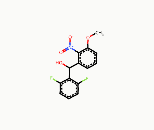 COc1cccc(C(O)c2c(F)cccc2F)c1[N+](=O)[O-]